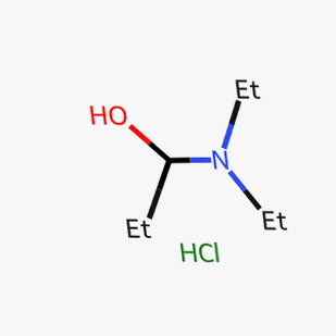 CCC(O)N(CC)CC.Cl